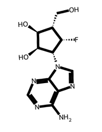 Nc1ncnc2c1ncn2[C@@H]1[C@@H](O)[C@@H](O)[C@H](CO)[C@@H]1F